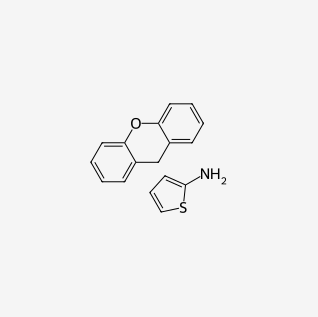 Nc1cccs1.c1ccc2c(c1)Cc1ccccc1O2